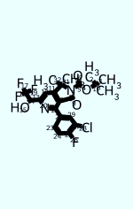 CC(C)(C)OC(=O)N1C(=O)c2c(cc(C(O)C(F)(F)F)nc2-c2ccc(F)c(Cl)c2)C1(C)C